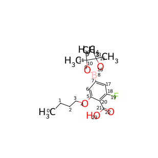 CCCCOc1cc(B2OC(C)(C)C(C)(C)O2)cc(F)c1C(=O)O